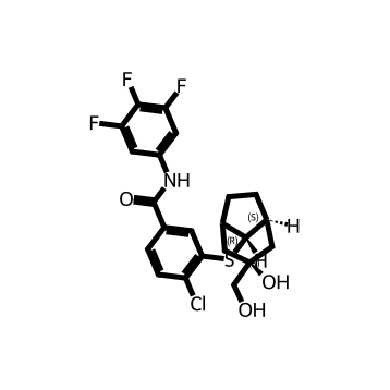 O=C(Nc1cc(F)c(F)c(F)c1)c1ccc(Cl)c(S[C@@H]2C3CC[C@H]2C[C@](O)(CO)C3)c1